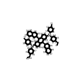 CCc1ccc(N(c2ccc(C)cc2)c2ccc3c(-c4ccc5ccccc5c4)c4cc(N(c5ccc(C)cc5)c5ccc(CC)cc5)ccc4c(-c4ccc5ccccc5c4)c3c2)cc1